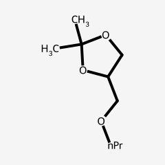 CCCOCC1COC(C)(C)O1